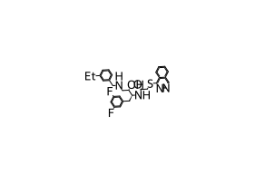 CCc1cccc(CNC[C@H](O)[C@H](Cc2cc(F)cc(F)c2)NC(=O)CSc2nncc3ccccc23)c1